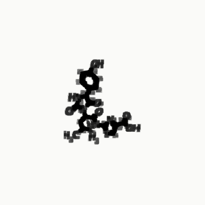 CC(C)CC(C(=O)Nc1nc(C(=O)O)cs1)N1C(=O)NC(c2ccc(O)cc2)C1=O